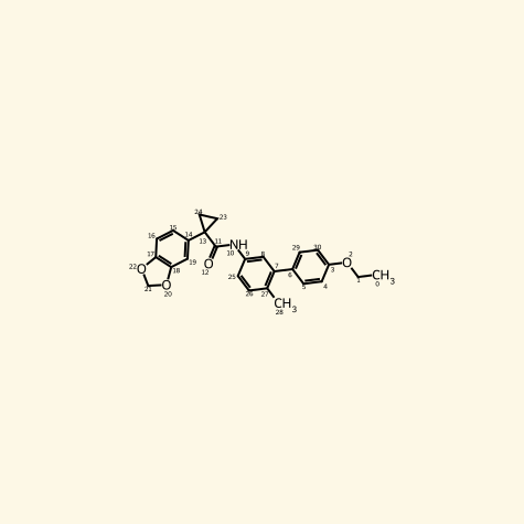 CCOc1ccc(-c2cc(NC(=O)C3(c4ccc5c(c4)OCO5)CC3)ccc2C)cc1